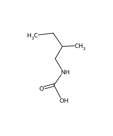 CCC(C)CNC(=O)O